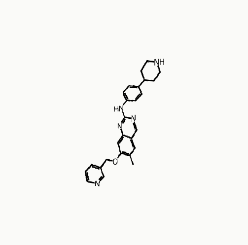 Cc1cc2cnc(Nc3ccc(C4CCNCC4)cc3)nc2cc1OCc1cccnc1